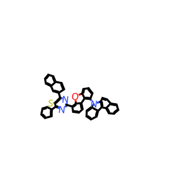 c1ccc2cc(-c3nc(-c4cccc5c4oc4cccc(-n6c7ccccc7c7c8ccccc8ccc76)c45)nc4c3sc3ccccc34)ccc2c1